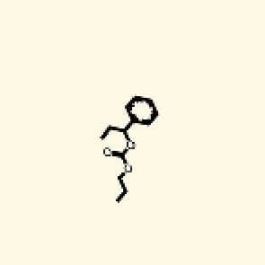 CCCOC(=O)OC(CC)c1ccccc1